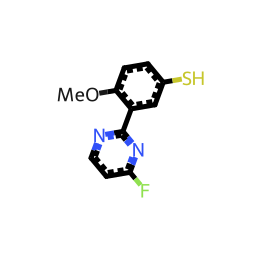 COc1ccc(S)cc1-c1nccc(F)n1